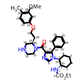 CCOC(=O)N[C@H]1CCCC[C@@H]1n1cnc(C(=O)N2CCNC[C@H]2CCOc2ccc(C)c(OC)c2)c1-c1ccccc1